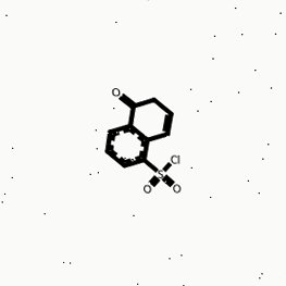 O=C1CC=Cc2c1cccc2S(=O)(=O)Cl